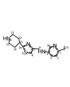 Fc1ccc(NCc2csc(C3CCNCC3)n2)cn1